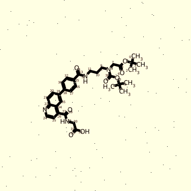 CC(C)(C)OC(=O)CN(CCCNC(=O)c1ccc(-c2ccc3nccc(C(=O)NCC(=O)O)c3c2)cc1)C(=O)OC(C)(C)C